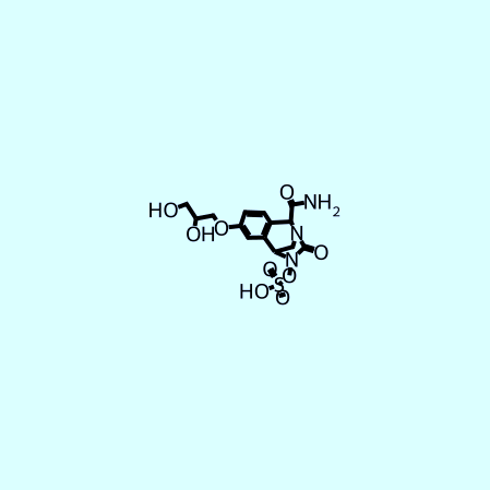 NC(=O)C1c2ccc(OCC(O)CO)cc2C2CN1C(=O)N2OS(=O)(=O)O